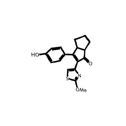 COc1nc(C2=C(c3ccc(O)cc3)C3CCCC3C2=O)cs1